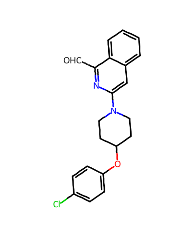 O=Cc1nc(N2CCC(Oc3ccc(Cl)cc3)CC2)cc2ccccc12